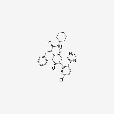 O=C(NC1CCCCC1)C(Cc1ccccc1)N1CC(=O)N(c2cc(Cl)ccc2-n2cnnn2)CC1=O